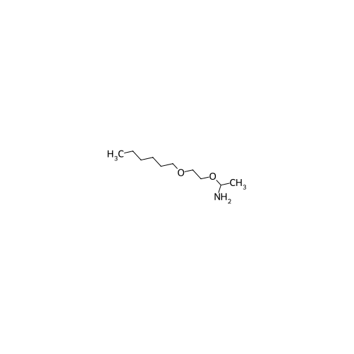 CCCCCCOCCOC(C)N